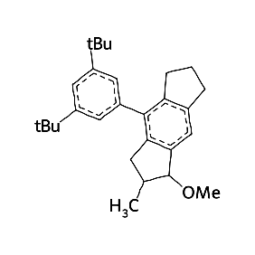 COC1c2cc3c(c(-c4cc(C(C)(C)C)cc(C(C)(C)C)c4)c2CC1C)CCC3